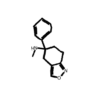 CNC1(c2ccccc2)CCc2nocc2C1